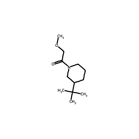 COCC(=O)N1CCCC(C(C)(C)C)C1